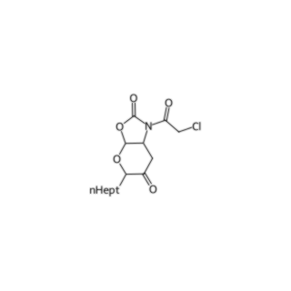 CCCCCCCC1OC2OC(=O)N(C(=O)CCl)C2CC1=O